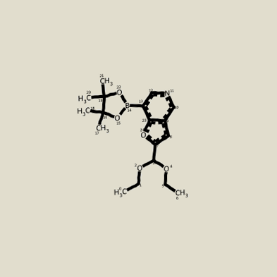 CCOC(OCC)c1cc2cncc(B3OC(C)(C)C(C)(C)O3)c2o1